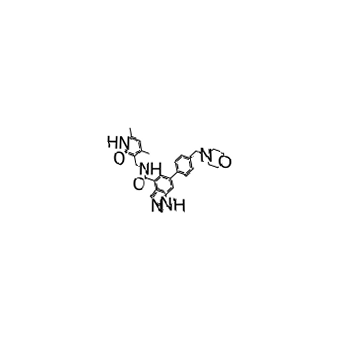 Cc1cc(C)c(CNC(=O)c2cc(-c3ccc(CN4CCOCC4)cc3)cc3[nH]ncc23)c(=O)[nH]1